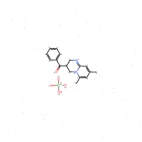 CC1=CC2=NCC(C(=O)c3ccccc3)CN2C(C)=C1.[O-][Cl+3]([O-])([O-])O